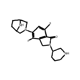 O=C1c2c(F)cc(N3CC4CCC(C3)N4)c(F)c2CN1C1CCCNC1